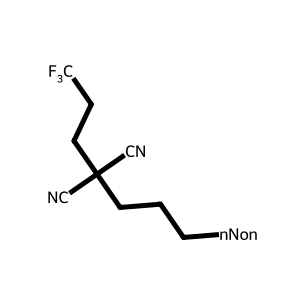 CCCCCCCCCCCCC(C#N)(C#N)CCC(F)(F)F